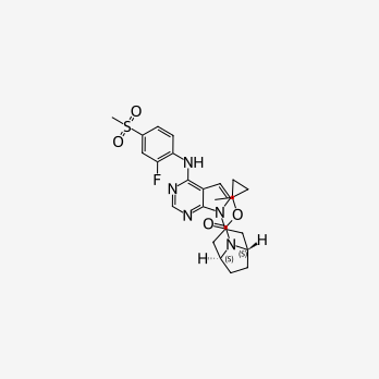 CC1(OC(=O)N2[C@H]3CC[C@H]2CC(n2ccc4c(Nc5ccc(S(C)(=O)=O)cc5F)ncnc42)C3)CC1